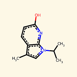 Cc1cn(C(C)C)c2nc(O)ccc12